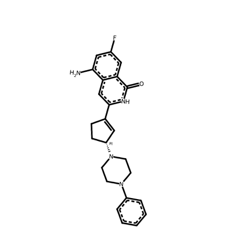 Nc1cc(F)cc2c(=O)[nH]c(C3=C[C@H](N4CCN(c5ccccc5)CC4)CC3)cc12